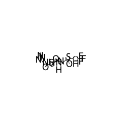 C/C(=N\NC(=O)c1ccc(C(=O)NCc2ncn(C)n2)s1)c1csc(-c2ccc(C(F)(F)F)cc2)c1O